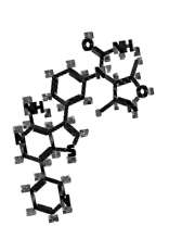 Cc1noc(C)c1N(C(N)=O)c1cccc(-c2csc3c(-c4cccnc4)cnc(N)c23)c1